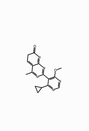 COc1ncnc(C2CC2)c1-c1nc(C)c2c(n1)=NC(=O)CC=2